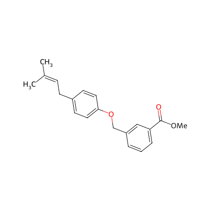 COC(=O)c1cccc(COc2ccc(CC=C(C)C)cc2)c1